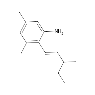 CCC(C)/C=C/c1c(C)cc(C)cc1N